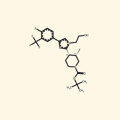 CC(C)(C)OC(=O)N1CC[C@H](c2nc(-c3ccc(F)c(C(F)(F)F)c3)cn2CCO)[C@H](F)C1